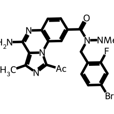 CNN(Cc1ccc(Br)cc1F)C(=O)c1ccc2nc(N)c3c(C)nc(C(C)=O)n3c2c1